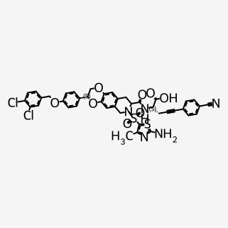 Cc1nc(N)sc1S(=O)(=O)N1Cc2cc3c(cc2CC1C(=O)N[C@@H](CC#Cc1ccc(C#N)cc1)C(=O)O)OC[C@H](c1ccc(OCc2ccc(Cl)c(Cl)c2)cc1)O3